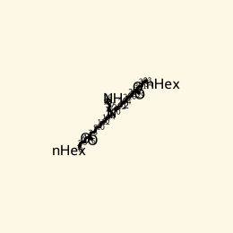 CCCCCC/C=C\COC(=O)CCCCCCCCN(CCCN)CCCCCCCCC(=O)OC/C=C\CCCCCC